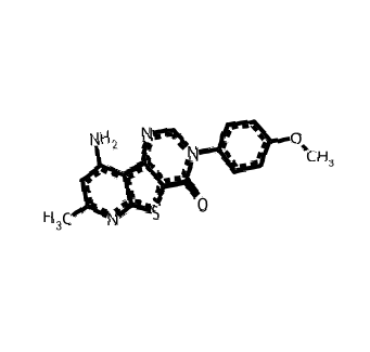 COc1ccc(-n2cnc3c(sc4nc(C)cc(N)c43)c2=O)cc1